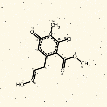 COC(=O)c1c(C/C=N/O)cc(=O)n(C)c1Cl